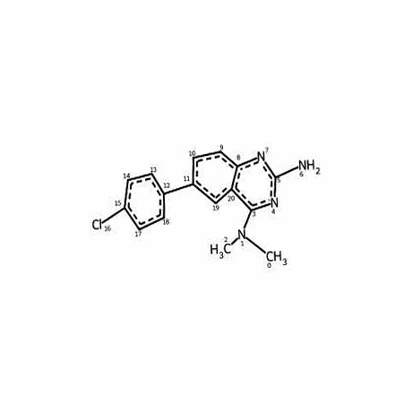 CN(C)c1nc(N)nc2ccc(-c3ccc(Cl)cc3)cc12